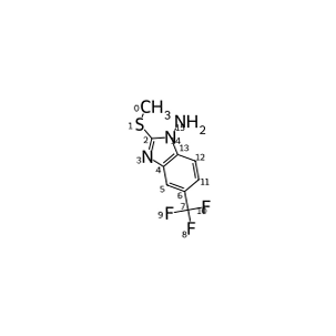 CSc1nc2cc(C(F)(F)F)ccc2n1N